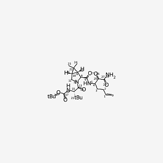 C=CCCC(NC(=O)[C@@H]1[C@@H]2[C@H](CN1C(=O)[C@@H](NC(=O)OC(C)(C)C)C(C)(C)C)C2(C)C)C(=O)C(N)=O